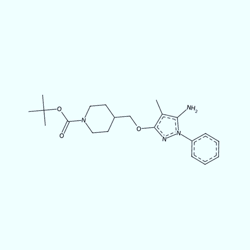 Cc1c(OCC2CCN(C(=O)OC(C)(C)C)CC2)nn(-c2ccccc2)c1N